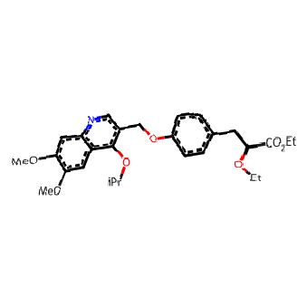 CCOC(=O)C(Cc1ccc(OCc2cnc3cc(OC)c(OC)cc3c2OC(C)C)cc1)OCC